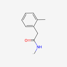 [CH2]NC(=O)Cc1ccccc1C